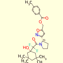 Cc1ccc(C(=O)OCc2cc([C@@H]3CCCN3C(=O)C(F)(F)C3(O)CC(C)(C)CC(C)(C)C3)no2)cc1